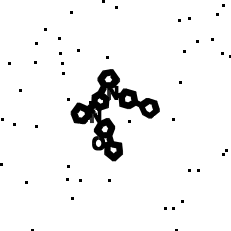 C1=CCCC(c2ccc(-n3c4ccccc4c4cc5c6ccccc6n(-c6ccc7c(c6)oc6ccccc67)c5cc43)cc2)=C1